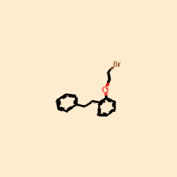 BrCCOc1ccccc1CCc1ccccc1